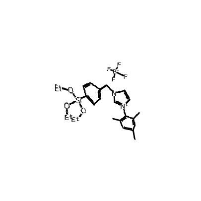 CCO[Si](OCC)(OCC)c1ccc(Cn2cc[n+](-c3c(C)cc(C)cc3C)c2)cc1.F[B-](F)(F)F